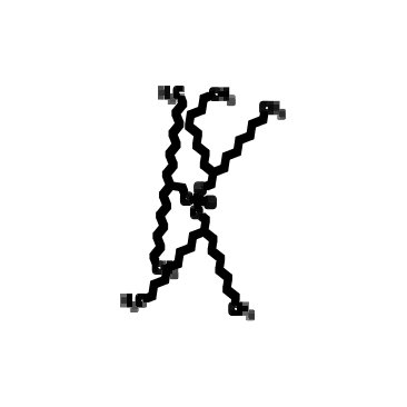 CCCCCCCCCC(CCCCCCCC)COP(=O)(OCC(CCCCCCCC)CCCCCCCCC)OCC(CCCCCCCC)CCCCCCCCC